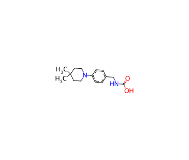 CC1(C)CCN(c2ccc(CNC(=O)O)cc2)CC1